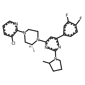 CC1CCCN1c1nc(-c2ccc(F)c(F)c2)cc(N2CCN(c3ncccc3Cl)C[C@H]2C)n1